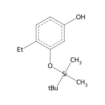 CCc1ccc(O)cc1O[Si](C)(C)C(C)(C)C